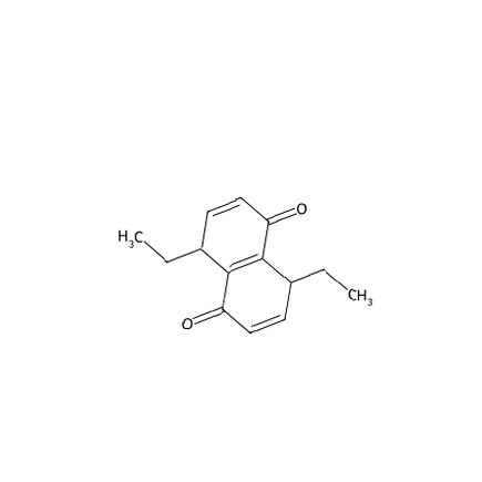 CCC1C=CC(=O)C2=C1C(=O)C=CC2CC